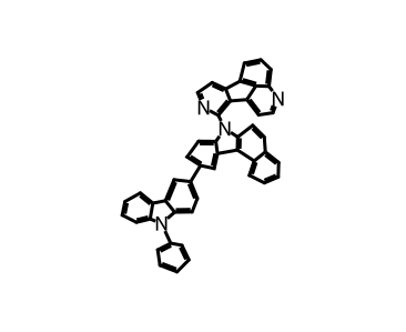 c1ccc(-n2c3ccccc3c3cc(-c4ccc5c(c4)c4c6ccccc6ccc4n5-c4nccc5c4-c4ccnc6cccc-5c46)ccc32)cc1